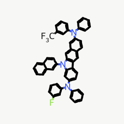 Fc1cccc(N(c2ccccc2)c2ccc3c4cc5ccc(N(c6ccccc6)c6cccc(C(F)(F)F)c6)cc5cc4n(-c4ccc5ccccc5c4)c3c2)c1